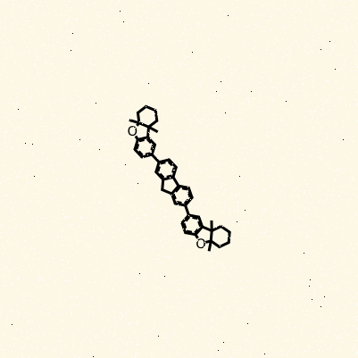 CC12CCCCC1(C)c1cc(-c3ccc4c(c3)Cc3cc(-c5ccc6c(c5)C5(C)CCCCC5(C)O6)ccc3-4)ccc1O2